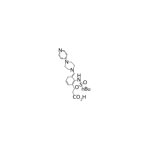 CCCCS(=O)(=O)NC1=C(CCC(=O)O)C=CCC1=CN1CCN(c2ccncc2)CC1